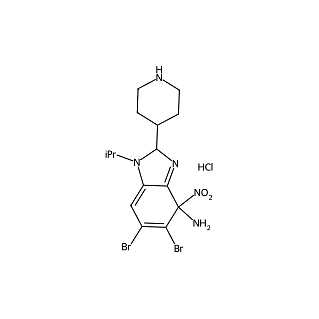 CC(C)N1C2=CC(Br)=C(Br)C(N)([N+](=O)[O-])C2=NC1C1CCNCC1.Cl